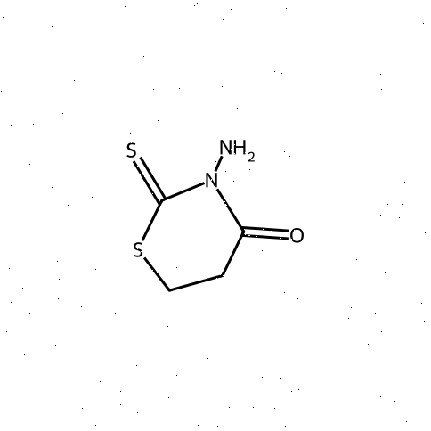 NN1C(=O)CCSC1=S